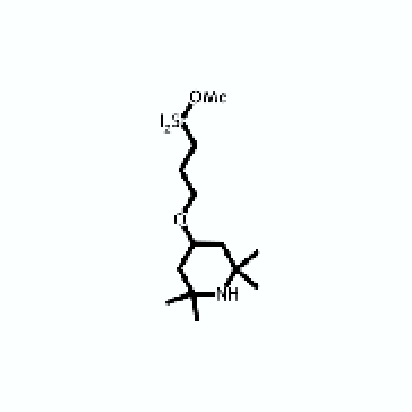 CO[SiH2]CCCOC1CC(C)(C)NC(C)(C)C1